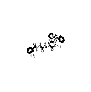 COC(=O)[C@H](CNC(=O)NNC(=O)c1cccc(N)c1)NC(=O)[C@@H]1CCCN1S(=O)(=O)c1ccccc1